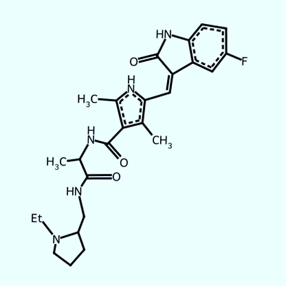 CCN1CCCC1CNC(=O)C(C)NC(=O)c1c(C)[nH]c(/C=C2\C(=O)Nc3ccc(F)cc32)c1C